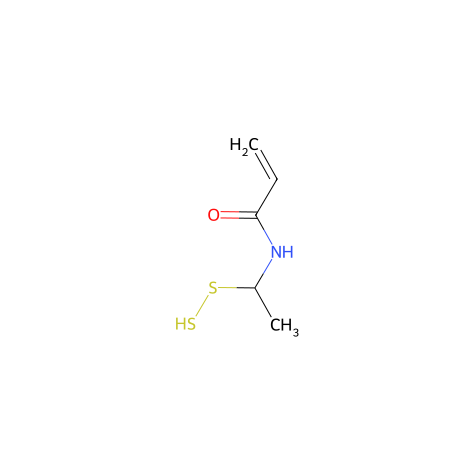 C=CC(=O)NC(C)SS